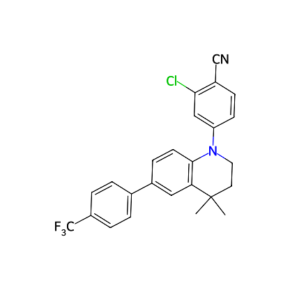 CC1(C)CCN(c2ccc(C#N)c(Cl)c2)c2ccc(-c3ccc(C(F)(F)F)cc3)cc21